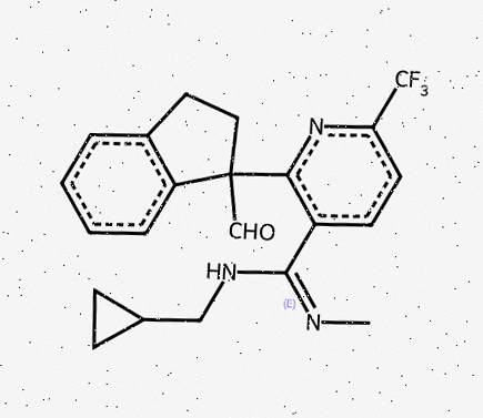 C/N=C(/NCC1CC1)c1ccc(C(F)(F)F)nc1C1(C=O)CCc2ccccc21